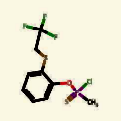 CP(=S)(Cl)Oc1ccccc1SCC(F)(F)F